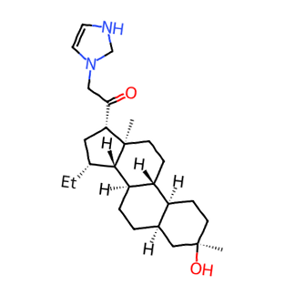 CC[C@@H]1C[C@H](C(=O)CN2C=CNC2)[C@@]2(C)CC[C@H]3[C@@H](CC[C@@H]4C[C@](C)(O)CC[C@@H]43)[C@H]12